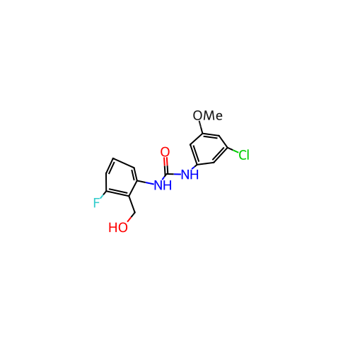 COc1cc(Cl)cc(NC(=O)Nc2cccc(F)c2CO)c1